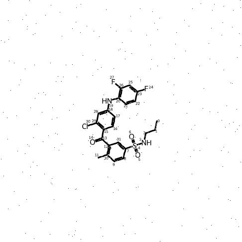 CCCNS(=O)(=O)c1ccc(C)c(C(=O)c2ccc(Nc3ccc(F)cc3F)cc2Cl)c1